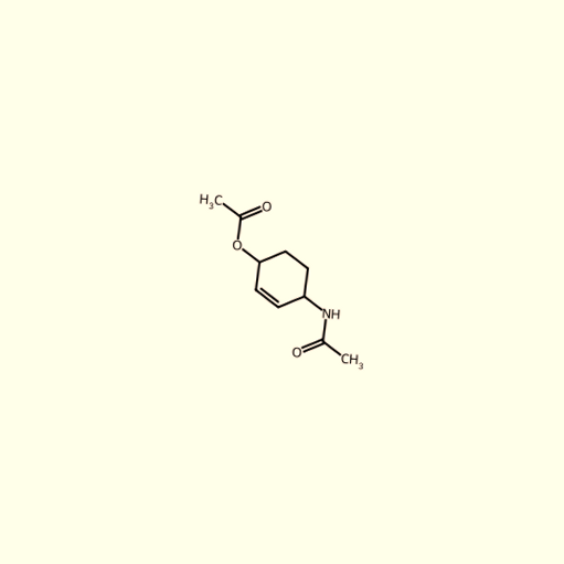 CC(=O)NC1C=CC(OC(C)=O)CC1